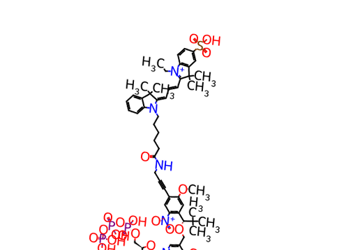 CC[N+]1=C(/C=C/C=C2/N(CCCCCC(=O)NCC#Cc3cc([N+](=O)[O-])c([C@@H](OCc4cn([C@H]5C[C@@H](O)[C@@H](COP(=O)(O)OP(=O)(O)OP(=O)(O)O)O5)c(=O)[nH]c4=O)C(C)(C)C)cc3OC)c3ccccc3C2(C)C)C(C)(C)c2cc(S(=O)(=O)O)ccc21